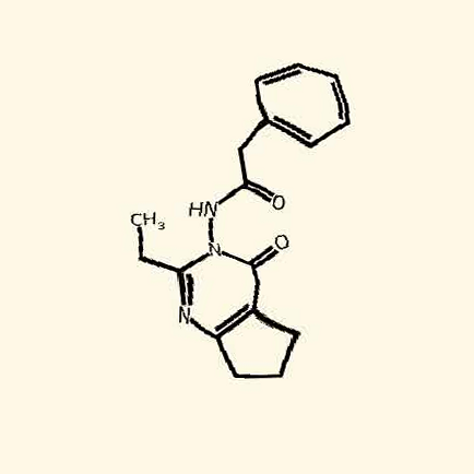 CCc1nc2c(c(=O)n1NC(=O)Cc1ccccc1)CCC2